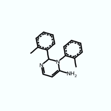 Cc1ccccc1C1N=CC=C(N)N1c1ccccc1C